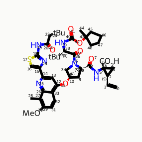 C=C[C@@H]1C[C@]1(NC(=O)[C@@H]1C[C@@H](Oc2cc(-c3csc(NC(=O)CC(C)(C)C)n3)nc3c(C)c(OC)ccc23)CN1C(=O)[C@@H](NC(=O)OC1(C)CCCC1)C(C)(C)C)C(=O)O